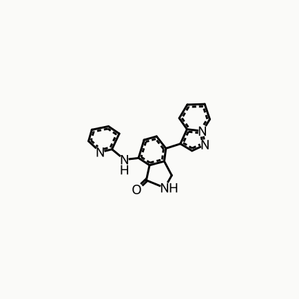 O=C1NCc2c(-c3cnn4ccccc34)ccc(Nc3ccccn3)c21